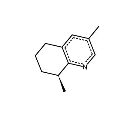 Cc1cnc2c(c1)CCC[C@@H]2C